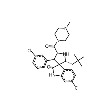 CN1CCN(C(=O)C2N[C@H](CC(C)(C)C)C3(C(=O)Nc4cc(Cl)ccc43)[C@H]2c2cccc(Cl)c2)CC1